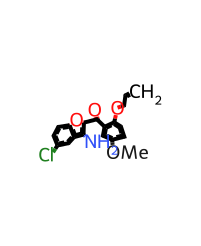 C=CCOc1ccc(OC)cc1C(=O)c1oc2ccc(Cl)cc2c1N